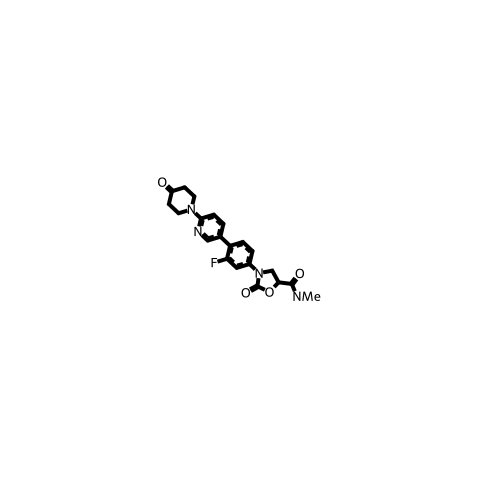 CNC(=O)C1CN(c2ccc(-c3ccc(N4CCC(=O)CC4)nc3)c(F)c2)C(=O)O1